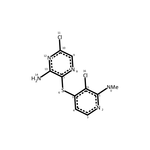 CNc1nccc(Sc2ncc(Cl)nc2N)c1Cl